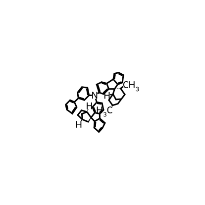 CC1CC2C[C@@H](C)C[C@@H](C2)[C@@]12c1ccccc1-c1ccc(N(c3cccc(-c4ccccc4)c3)c3ccc4c(c3)[C@]3(C[C@H]5CC[C@@H]3C5)c3ccccc3-4)cc12